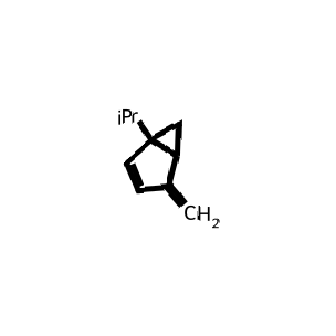 C=C1C=CC2(C(C)C)CC12